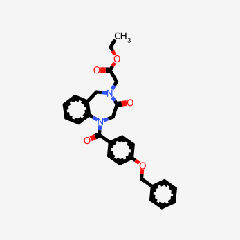 CCOC(=O)CN1Cc2ccccc2N(C(=O)c2ccc(OCc3ccccc3)cc2)CC1=O